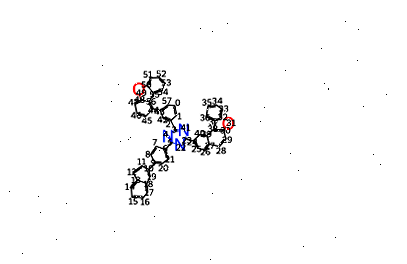 c1cc(-c2nc(-c3ccc(-c4ccc5ccccc5c4)cc3)nc(-c3ccc4ccc5oc6ccccc6c5c4c3)n2)cc(-c2cccc3oc4ccccc4c23)c1